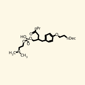 CCCCCCCCCCCCOc1ccc(CC(COP(=O)(O)OCCN(C)C)CC(=O)CCC)cc1